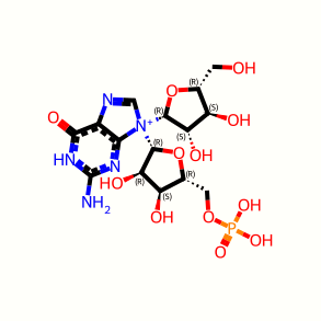 Nc1nc2c(c(=O)[nH]1)N=C[N+]2([C@@H]1O[C@H](COP(=O)(O)O)[C@@H](O)[C@H]1O)[C@@H]1O[C@H](CO)[C@@H](O)[C@@H]1O